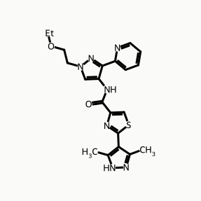 CCOCCn1cc(NC(=O)c2csc(-c3c(C)n[nH]c3C)n2)c(-c2ccccn2)n1